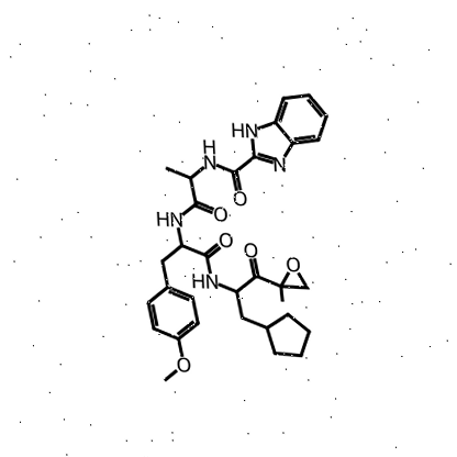 COc1ccc(CC(NC(=O)C(C)NC(=O)c2nc3ccccc3[nH]2)C(=O)NC(CC2CCCC2)C(=O)C2(C)CO2)cc1